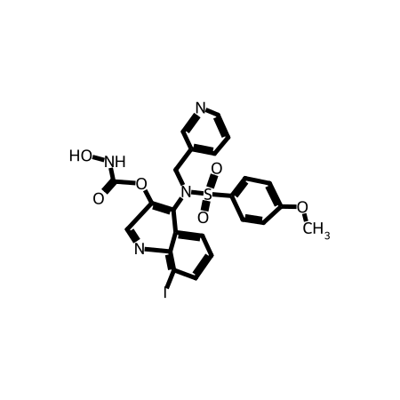 COc1ccc(S(=O)(=O)N(Cc2cccnc2)c2c(OC(=O)NO)cnc3c(I)cccc23)cc1